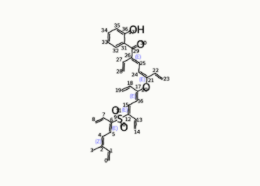 C=C/C(C)=C\C=C(/C=C)S(=O)(=O)/C(C=C)=C/C=C(\C=C)O/C(C=C)=C/C=C(\C=C)C(=O)c1ccccc1O